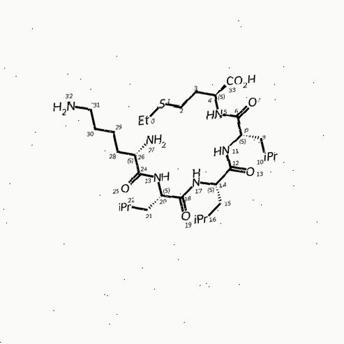 CCSCC[C@H](NC(=O)[C@H](CC(C)C)NC(=O)[C@H](CC(C)C)NC(=O)[C@H](CC(C)C)NC(=O)[C@@H](N)CCCCN)C(=O)O